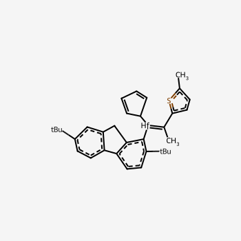 C[C](c1ccc(C)s1)=[Hf]([c]1c(C(C)(C)C)ccc2c1Cc1cc(C(C)(C)C)ccc1-2)[CH]1C=CC=C1